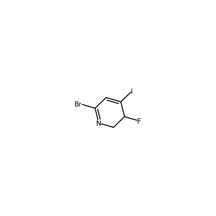 FC1CN=C(Br)C=C1I